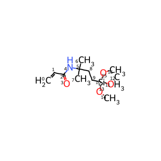 C=CC(=O)NC(C)(C)CC[Si](OC)(OC)OC